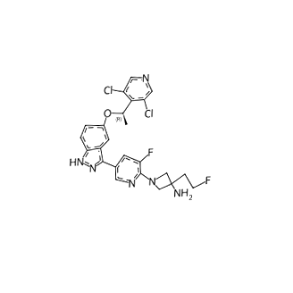 C[C@@H](Oc1ccc2[nH]nc(-c3cnc(N4CC(N)(CCF)C4)c(F)c3)c2c1)c1c(Cl)cncc1Cl